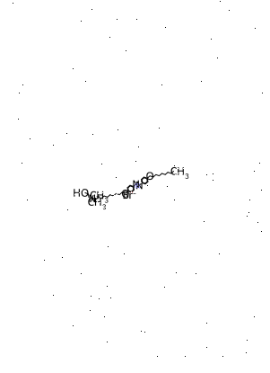 CCCCCCCCOc1ccc(/N=N/c2ccc(OCCCCCCCCCC[N+](C)(C)CCO)cc2)cc1.[Br-]